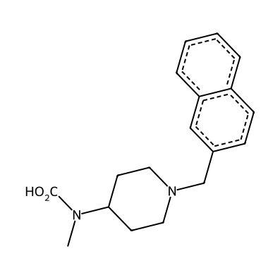 CN(C(=O)O)C1CCN(Cc2ccc3ccccc3c2)CC1